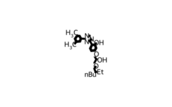 CCCCC(CC)COCC(O)COc1ccc(-c2ncnc(-c3cc(C)cc(C)c3)n2)c(O)c1